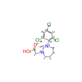 O=C(O)CN1CCCCN(c2c(Cl)cc(Cl)cc2Cl)S1